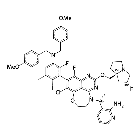 COc1ccc(CN(Cc2ccc(OC)cc2)c2cc(C)c(I)c(-c3c(Cl)c4c5c(nc(OC[C@@]67CCCN6C[C@H](F)C7)nc5c3F)N([C@H](C)c3cccnc3N)CCO4)c2F)cc1